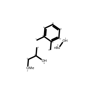 CCCCO.COCC(C)O.Cc1ccccc1C